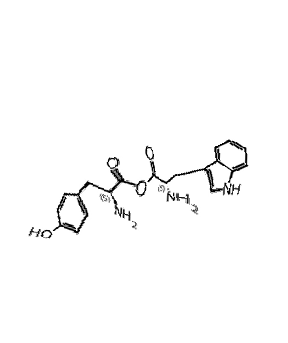 N[C@@H](Cc1ccc(O)cc1)C(=O)OC(=O)[C@@H](N)Cc1c[nH]c2ccccc12